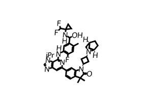 Cc1cc(F)c(Nc2nc(-c3ccc4c(c3)N([C@H]3C[C@@H](N5C[C@H]6CC[C@@H]5C6)C3)C(=O)C4(C)C)cc3ncn(C(C)C)c23)cc1C(O)NC1(C(F)F)CC1